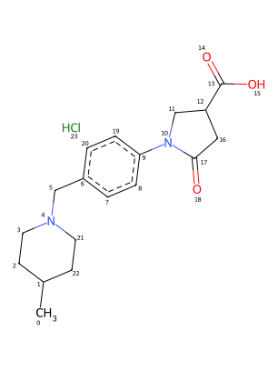 CC1CCN(Cc2ccc(N3CC(C(=O)O)CC3=O)cc2)CC1.Cl